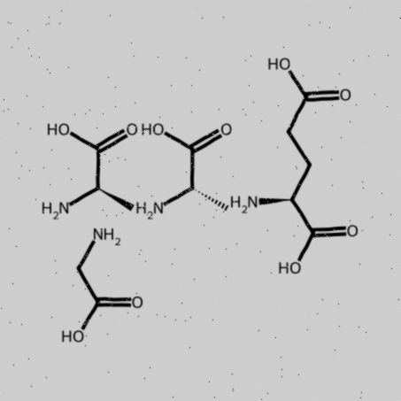 C[C@@H](N)C(=O)O.C[C@H](N)C(=O)O.NCC(=O)O.N[C@@H](CCC(=O)O)C(=O)O